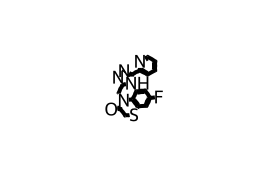 O=C1CSc2cc(F)ccc2N1Cc1nnc(-c2ccccn2)[nH]1